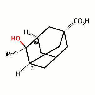 CC(C)[C@]1(O)[C@@H]2CC3C[C@@H]1C[C@](C(=O)O)(C3)C2